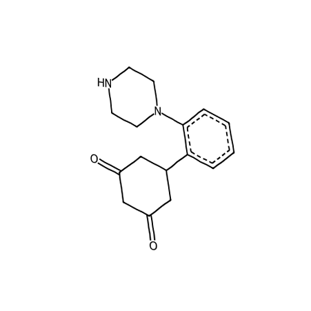 O=C1CC(=O)CC(c2ccccc2N2CCNCC2)C1